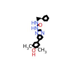 Cc1cc(-c2ccc3ncc(NC(=O)NC4C[C@H]4c4ccccc4)nc3c2)cc(C)c1O